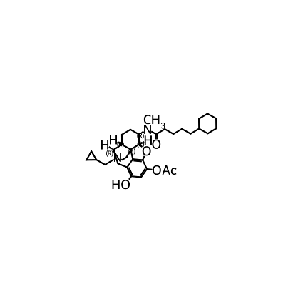 CC(=O)Oc1cc(O)c2c3c1O[C@H]1[C@H](N(C)C(=O)CCCCC4CCCCC4)CC[C@H]4[C@@H](C2)N(CC2CC2)CC[C@@]341